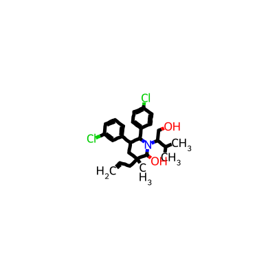 C=CCC1(C)CC(c2cccc(Cl)c2)C(c2ccc(Cl)cc2)N(C(CO)C(C)C)C1O